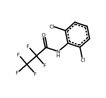 O=C(Nc1c(Cl)cccc1Cl)C(F)(F)C(F)(F)F